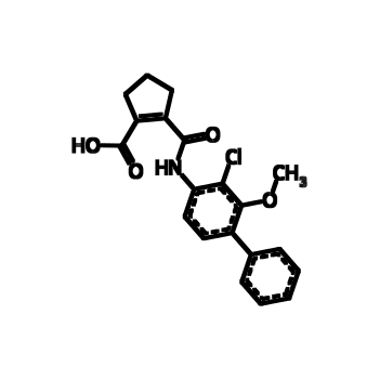 COc1c(-c2ccccc2)ccc(NC(=O)C2=C(C(=O)O)CCC2)c1Cl